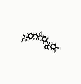 CCS(=O)(=O)c1ccc(CC(=O)Nc2ccc(OC3(c4ccc(Cl)c(F)c4)COC3)cc2)cc1